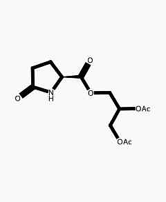 CC(=O)OCC(COC(=O)[C@@H]1CCC(=O)N1)OC(C)=O